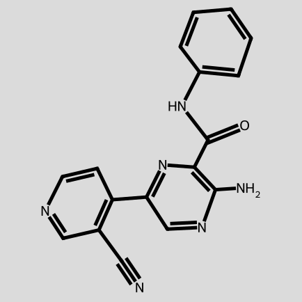 N#Cc1cnccc1-c1cnc(N)c(C(=O)Nc2ccccc2)n1